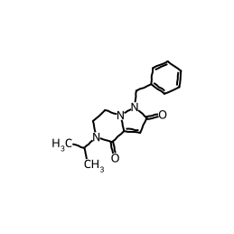 CC(C)N1CCn2c(cc(=O)n2Cc2ccccc2)C1=O